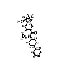 C[C@](O)(c1ccc(C(=O)N(C2CC2)[C@H]2CC[C@H](C3C=CN=CC3)CC2)cc1)C(F)(F)F